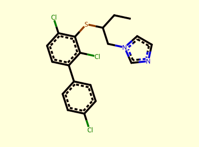 CCC(Cn1ccnc1)Sc1c(Cl)ccc(-c2ccc(Cl)cc2)c1Cl